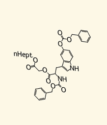 CCCCCCCOC(=O)COC(=O)C(Cc1c[nH]c2ccc(OC(=O)OCc3ccccc3)cc12)NC(=O)OCc1ccccc1